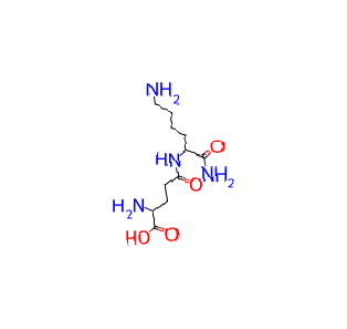 NCCCCC(NC(=O)CCC(N)C(=O)O)C(N)=O